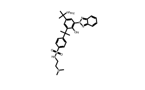 CCCCCC(C)(C)c1cc(-n2nc3ccccc3n2)c(O)c(C(C)(C)c2ccc(S(=O)(=O)NCCN(C)C)cc2)c1